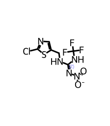 O=[N+]([O-])/N=C(/NCc1cnc(Cl)s1)NC(F)(F)F